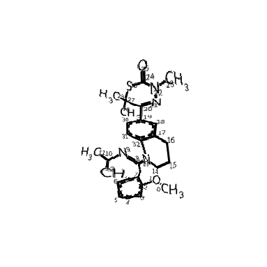 COc1ccccc1C(=NC(C)C)N1CCCc2cc(C3=NN(C)C(=O)SC3(C)C)ccc21